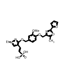 CCn1cc(/C=C/P(=O)(O)O)c(OCc2ccc(OCc3nc(-c4ccco4)oc3C)c(OC)c2)n1